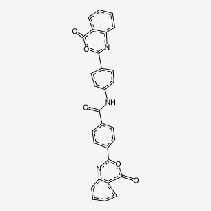 O=C(Nc1ccc(-c2nc3ccccc3c(=O)o2)cc1)c1ccc(-c2nc3ccccc3c(=O)o2)cc1